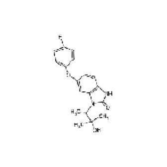 C[C@H](n1c(=O)[nH]c2ccc(Oc3ccc(F)cc3)cc21)C(C)(C)O